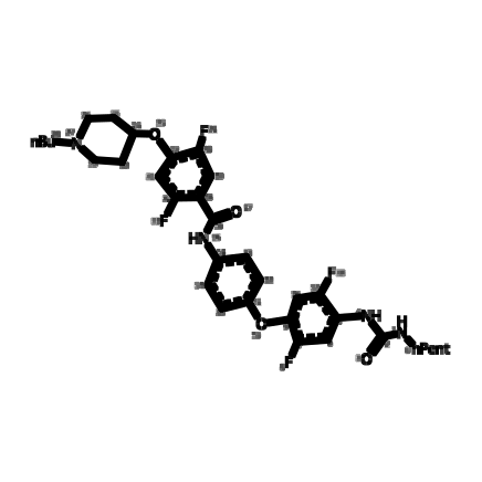 CCCCCNC(=O)Nc1cc(F)c(Oc2ccc(NC(=O)c3cc(F)c(OC4CCN(CCCC)CC4)cc3F)cc2)cc1F